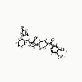 COc1ccc(C(=O)C2CCN([C@@H]3CCN(CC4CCCCCC4C4=NC(=O)C=N4)C3=O)CC2)cc1C